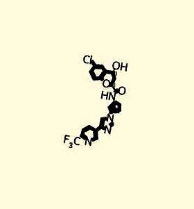 O=C(NC12CC(C1)C(n1cnc(-c3ccc(C(F)(F)F)nc3)c1)C2)[C@@H]1C[C@@H](O)c2cc(Cl)ccc2O1